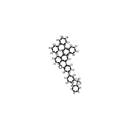 CC1(C)c2ccccc2-c2ccc(-c3ccc4c(c3)Oc3cccc5c3c-4cc3c4ccccc4c(-c4ccccc4-c4ccccc4)cc53)cc21